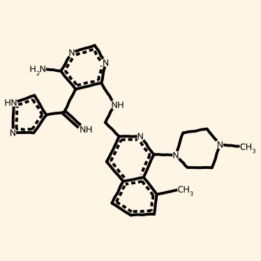 Cc1cccc2cc(CNc3ncnc(N)c3C(=N)c3cn[nH]c3)nc(N3CCN(C)CC3)c12